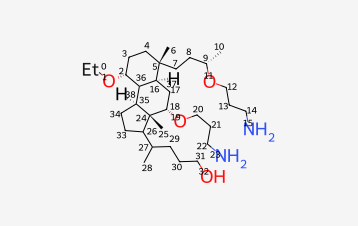 CCO[C@@H]1CC[C@](C)(CC[C@H](C)OCCCN)[C@H]2C[C@H](OCCCN)[C@]3(C)C(C(C)CCCO)CC[C@H]3C12